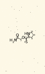 NC(=O)COC(=S)[C@@H]1CCCN1